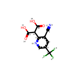 N#Cc1cc(C(F)(F)F)cnc1C(C(=O)O)C(=O)O